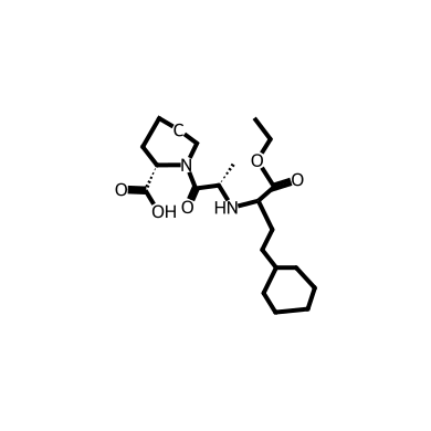 CCOC(=O)C(CCC1CCCCC1)N[C@@H](C)C(=O)N1CCCC[C@H]1C(=O)O